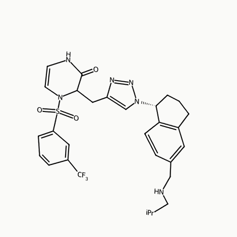 CC(C)CNCc1ccc2c(c1)CCC[C@H]2n1cc(CC2C(=O)NC=CN2S(=O)(=O)c2cccc(C(F)(F)F)c2)nn1